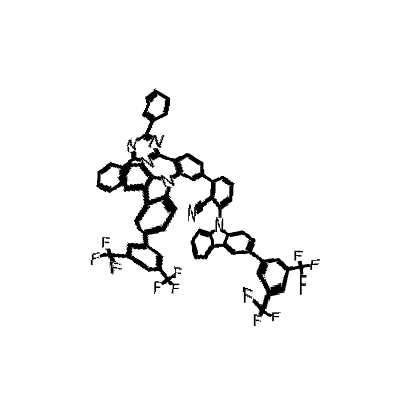 N#Cc1c(-c2ccc(-c3nc(-c4ccccc4)nc(-c4ccccc4)n3)c(-n3c4ccccc4c4cc(-c5cc(C(F)(F)F)cc(C(F)(F)F)c5)ccc43)c2)cccc1-n1c2ccccc2c2cc(-c3cc(C(F)(F)F)cc(C(F)(F)F)c3)ccc21